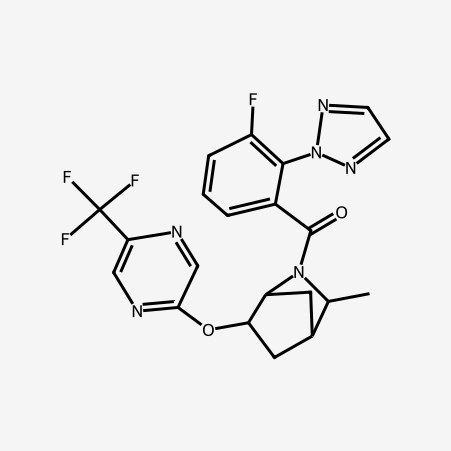 CC1C2CC(Oc3cnc(C(F)(F)F)cn3)C(C2)N1C(=O)c1cccc(F)c1-n1nccn1